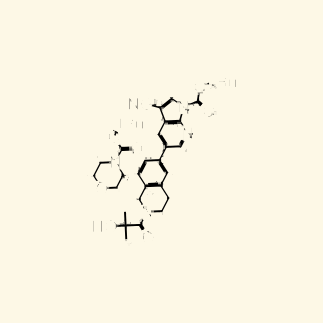 CC(C)(C)OC(=O)N1CCOC[C@H]1c1cc(-c2cnc3c(c2)c(C#N)cn3C(=O)OC(C)(C)C)cc2c1CN(C(=O)C(C)(C)O)CC2